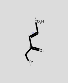 CC(C)CC(=O)/C=C/C(=O)O